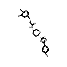 Cc1ncc(OCC(=O)N[C@H]2CC[C@@H](c3nnc(-c4ccc(Cl)cc4)o3)OC2)cc1F